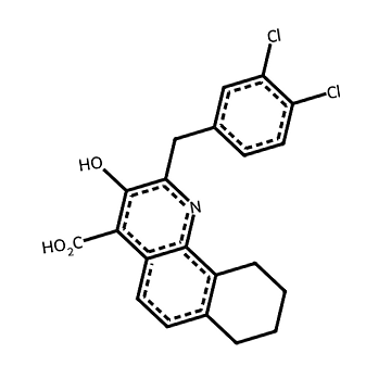 O=C(O)c1c(O)c(Cc2ccc(Cl)c(Cl)c2)nc2c3c(ccc12)CCCC3